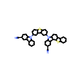 N#Cc1ccc2c(c1)c1ccccc1n2-c1ccc2sc3ccc(-n4c5ccc(C#N)cc5c5c6sc7ccccc7c6ccc54)cc3c2c1